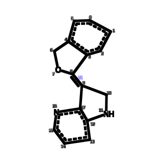 c1ccc2c(c1)CO/C2=C1/CNc2cccnc21